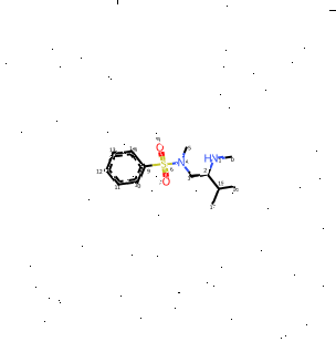 CN[C@H](CN(C)S(=O)(=O)c1ccccc1)C(C)C